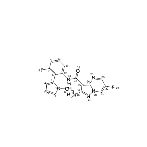 Cn1cncc1-c1c(F)cccc1NC(=O)c1c(N)nn2cc(F)cnc12